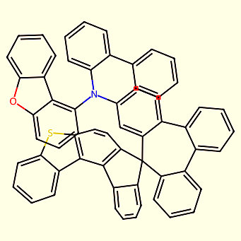 c1ccc(-c2ccccc2N(c2ccc3c(c2)C2(c4ccccc4-c4ccccc4-3)c3ccccc3-c3c2ccc2sc4ccccc4c32)c2cccc3oc4ccccc4c23)cc1